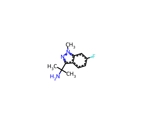 Cn1nc(C(C)(C)N)c2ccc(F)cc21